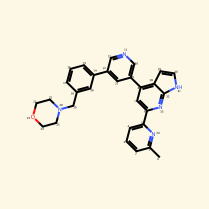 Cc1cccc(-c2cc(-c3cncc(-c4cccc(CN5CCOCC5)c4)c3)c3cc[nH]c3n2)n1